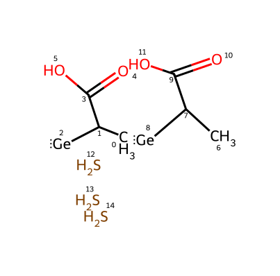 C[CH]([Ge])C(=O)O.C[CH]([Ge])C(=O)O.S.S.S